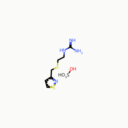 N=C(N)NCCSCc1ccsn1.O=S(=O)(O)O